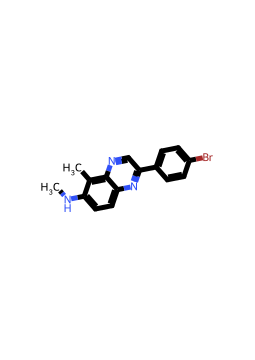 CNc1ccc2nc(-c3ccc(Br)cc3)cnc2c1C